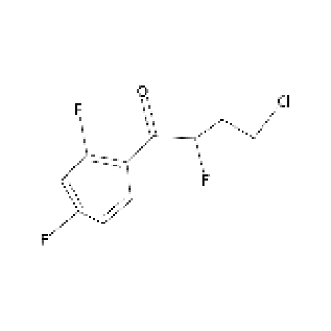 O=C(c1ccc(F)cc1F)C(F)CCCl